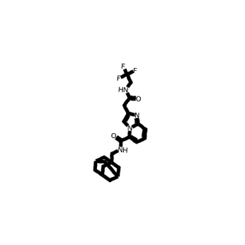 O=C(Cc1cn2c(C(=O)NCC34CC5CC(CC(C5)C3)C4)cccc2n1)NCC(F)(F)F